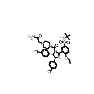 CCOc1ccc(S(=O)(=O)NC(C)(C)C)cc1C1=N[C@@H](c2ccc(Cl)cc2)[C@@H](c2ccc(Cl)cc2)N1C(=O)N1CCN(CC(N)=O)CC1